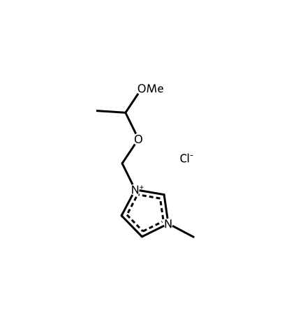 COC(C)OC[n+]1ccn(C)c1.[Cl-]